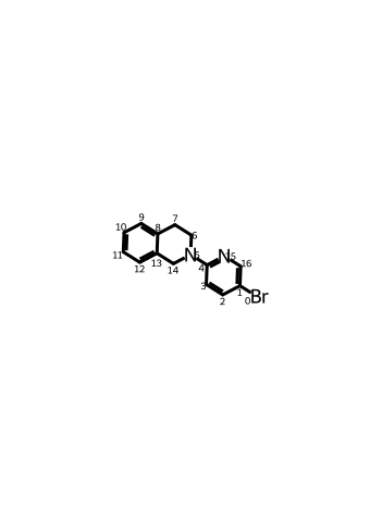 Brc1ccc(N2CCc3ccccc3C2)nc1